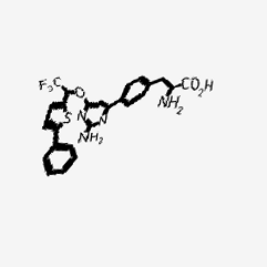 Nc1nc(OC(c2ccc(-c3ccccc3)s2)C(F)(F)F)cc(-c2ccc(C[C@H](N)C(=O)O)cc2)n1